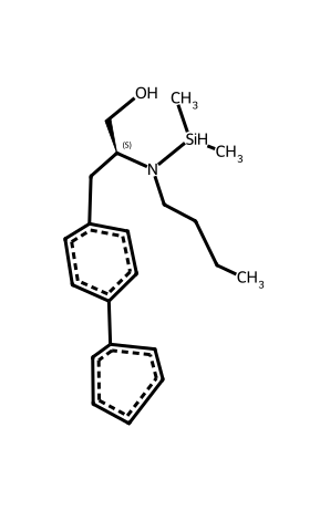 CCCCN([C@H](CO)Cc1ccc(-c2ccccc2)cc1)[SiH](C)C